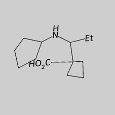 CCC(NC1CCCC1)C1(C(=O)O)CCC1